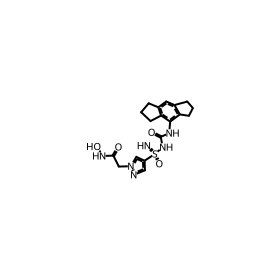 N=S(=O)(NC(=O)Nc1c2c(cc3c1CCC3)CCC2)c1cnn(CC(=O)NO)c1